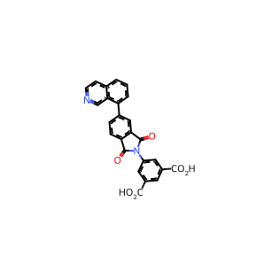 O=C(O)c1cc(C(=O)O)cc(N2C(=O)c3ccc(-c4cccc5ccncc45)cc3C2=O)c1